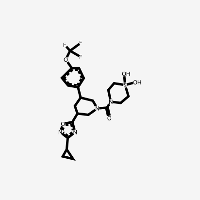 O=C(N1CCS(O)(O)CC1)N1CC(c2ccc(OC(F)(F)F)cc2)CC(c2nc(C3CC3)no2)C1